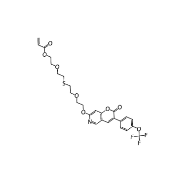 C=CC(=O)OCCOCCSCCOCCOc1cc2oc(=O)c(-c3ccc(OC(F)(F)F)cc3)cc2cn1